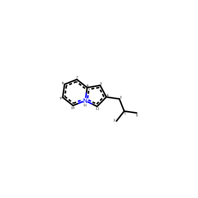 C[C](C)Cc1cc2ccccn2c1